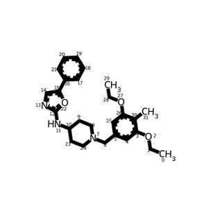 CCOc1cc(CN2CCC(Nc3ncc(-c4ccccc4)o3)CC2)cc(OCC)c1C